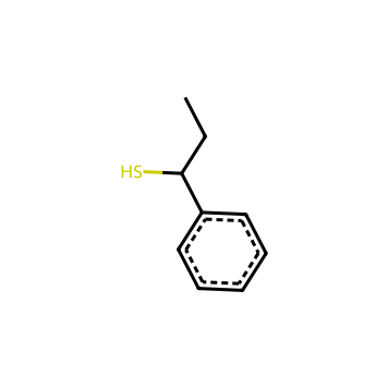 CCC(S)c1ccccc1